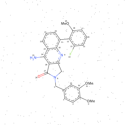 COc1ccc(CN2Cc3nc4c(-c5c(F)cccc5OC)cccc4c(N)c3C2=O)cc1OC